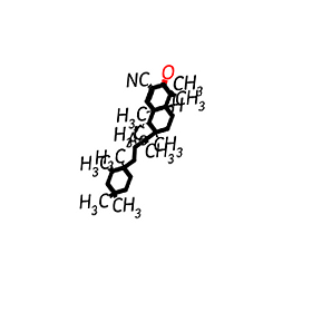 CC(=O)C[C@@H]1[C@@]2(C)C=C(C#N)C(=O)C(C)(C)[C@@H]2CC[C@@]1(C)C(C)(C)CC[C@@]1(C)CCC(C)(C)CC1C